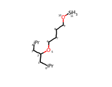 CC(C)CC(CC(C)C)OCCCCO[SiH3]